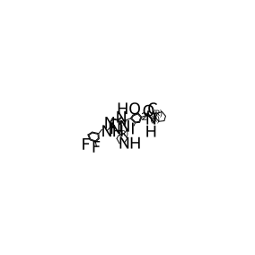 O=C(N[C@@H]1CCCC[C@H]1C(=O)O)c1ccc(-c2nc3cnc(NCc4ccc(F)c(F)c4)nc3n2C[C@@H]2CCCNC2)c(I)c1